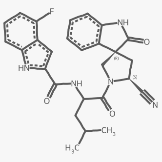 CC(C)CC(NC(=O)c1cc2c(F)cccc2[nH]1)C(=O)N1C[C@]2(C[C@H]1C#N)C(=O)Nc1ccccc12